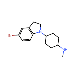 CNC1CCC(N2CCc3cc(Br)ccc32)CC1